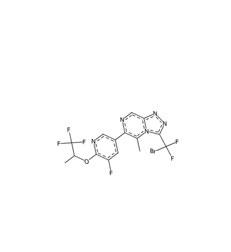 Cc1c(-c2cnc(OC(C)C(F)(F)F)c(F)c2)ncc2nnc(C(F)(F)Br)n12